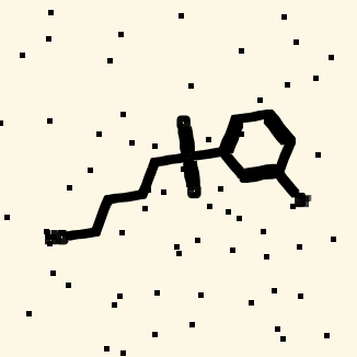 O=S(=O)(CCCCO)c1cccc(Br)c1